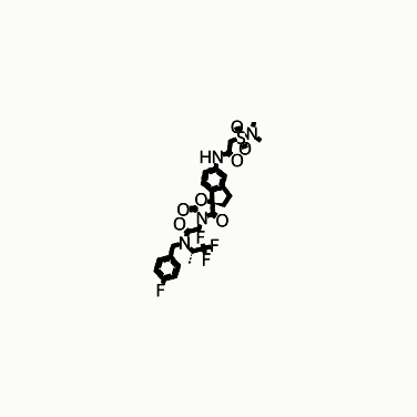 C[C@H](N(Cc1ccc(F)cc1)C(=O)CN1C(=O)O[C@@]2(CCc3cc(NC(=O)CS(=O)(=O)N(C)C)ccc32)C1=O)C(F)(F)F